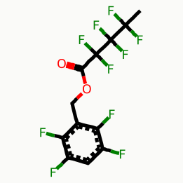 CC(F)(F)C(F)(F)C(F)(F)C(=O)OCc1c(F)c(F)cc(F)c1F